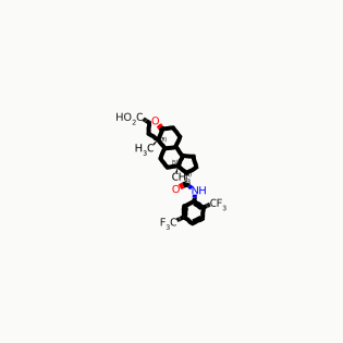 C[C@]1(CCC(=O)O)C(=O)CCC2C1CC[C@@]1(C)C2CC[C@@H]1C(=O)Nc1cc(C(F)(F)F)ccc1C(F)(F)F